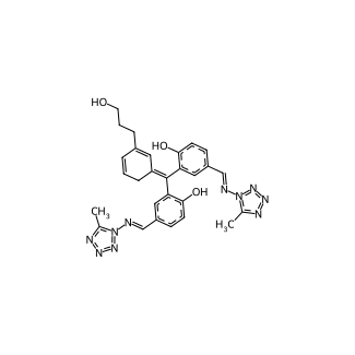 Cc1nnnn1N=Cc1ccc(O)c(C(=C2C=C(CCCO)C=CC2)c2cc(C=Nn3nnnc3C)ccc2O)c1